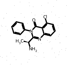 C[C@H](N)c1nc2cccc(Cl)c2c(=O)n1-c1ccccc1